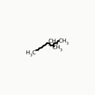 CCCCCCCCC(C)[CH]C(C)CCCC